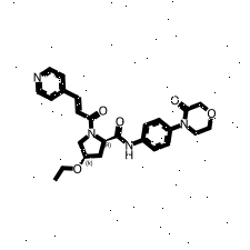 CCO[C@@H]1C[C@H](C(=O)Nc2ccc(N3CCOCC3=O)cc2)N(C(=O)C=Cc2ccncc2)C1